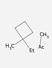 CC(C)=O.CCC1(C)CCC1